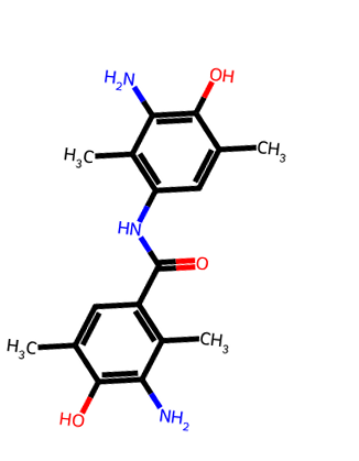 Cc1cc(NC(=O)c2cc(C)c(O)c(N)c2C)c(C)c(N)c1O